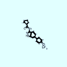 O=C(Nc1n[nH]c2cc(-c3ccc(OC(F)(F)F)cc3)ccc12)C1CCCC1